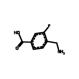 NCc1ccc(C(=O)O)cc1F